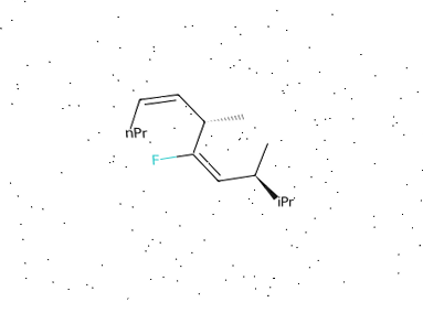 CCC/C=C\[C@H](C)/C(F)=C\[C@@H](C)C(C)C